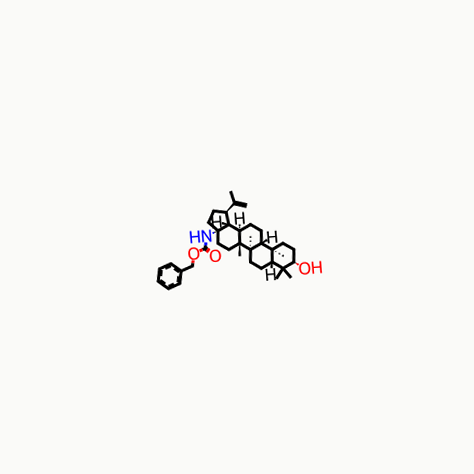 C=C(C)[C@@H]1CC[C@]2(NC(=O)OCc3ccccc3)CC[C@]3(C)[C@H](CC[C@@H]4[C@@]5(C)CC[C@H](O)C(C)(C)[C@@H]5CC[C@]43C)[C@@H]12